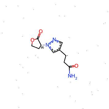 NC(=O)C[CH]c1cnn([C@@H]2CCOC2=O)c1